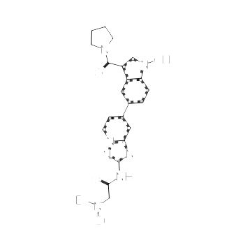 CCN(CC)CC(=O)Nc1nc2cc(-c3ccc4c(c3)c(C(=O)N3CCCC3)cn4C)ccn2n1